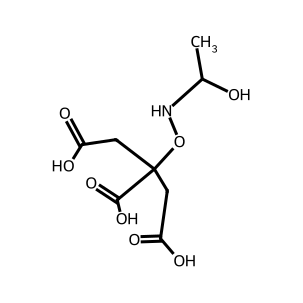 CC(O)NOC(CC(=O)O)(CC(=O)O)C(=O)O